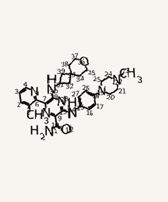 Cc1cccnc1-c1nc(C(N)=O)c(Nc2ccc(N3CCN(C)CC3)cc2)nc1NC1CC2(CCOCC2)C1